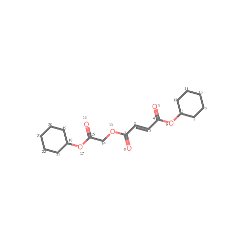 O=C(/C=C/C(=O)OC1CCCCC1)OCC(=O)OC1CCCCC1